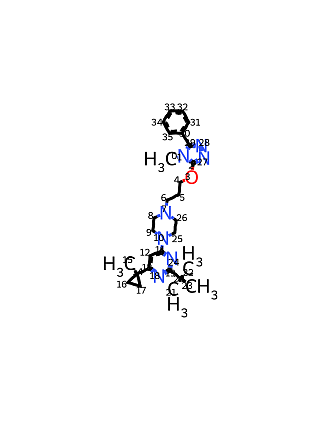 Cn1c(OCCCN2CCN(c3cc(C4(C)CC4)nc(C(C)(C)C)n3)CC2)nnc1-c1ccccc1